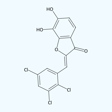 O=C1C(=Cc2cc(Cl)cc(Cl)c2Cl)Oc2c1ccc(O)c2O